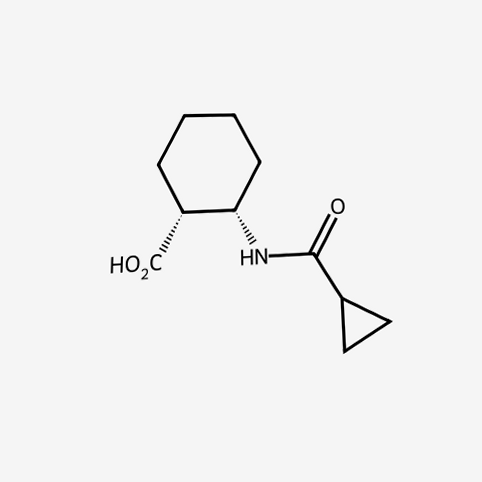 O=C(N[C@H]1CCCC[C@H]1C(=O)O)C1CC1